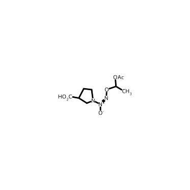 CC(=O)OC(C)O/N=[N+](/[O-])N1CCC(C(=O)O)C1